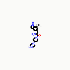 Cc1cc(CC(N)C(=O)N2CCC(N3CCNCC3)CC2)cc2cc[nH]c12